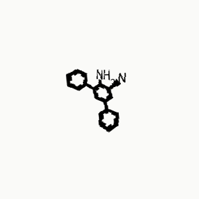 N#Cc1cc(-c2ccccc2)cc(-c2ccccc2)c1N